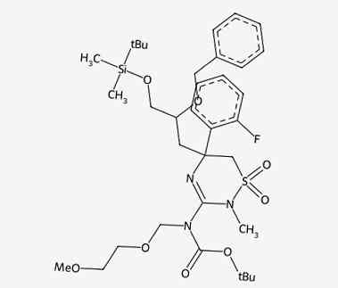 COCCOCN(C(=O)OC(C)(C)C)C1=NC(CC(CO[Si](C)(C)C(C)(C)C)OCc2ccccc2)(c2ccccc2F)CS(=O)(=O)N1C